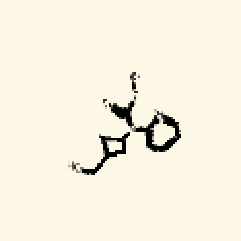 CC(C)(C)OC(=O)N(c1ccccn1)C1CC(CO)C1